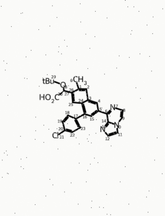 Cc1cc2cc(-c3nccn4ccnc34)cc(-c3ccc(Cl)cc3)c2cc1[C@H](OC(C)(C)C)C(=O)O